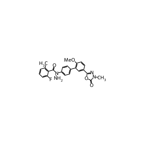 COc1ccc(-c2nn(C)c(=O)o2)cc1-c1ccc(N(N)C(=O)c2c(C)cccc2F)cc1